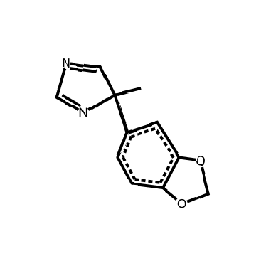 CC1(c2ccc3c(c2)OCO3)C=NC=N1